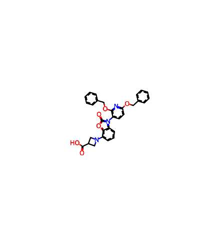 O=C(O)C1CN(c2cccc3c2oc(=O)n3-c2ccc(OCc3ccccc3)nc2OCc2ccccc2)C1